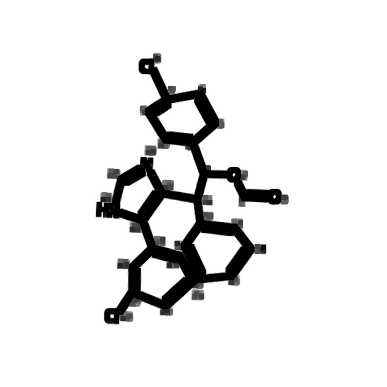 O=COC(c1ccc(Cl)cc1)C(c1ccccc1)c1nc[nH]c1-c1cccc(Cl)c1